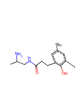 CC(N)CNC(=O)CCc1cc(C(C)(C)C)cc(C(C)(C)C)c1O